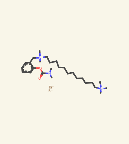 CN(C)C(=O)Oc1ccccc1C[N+](C)(C)CCCCCCCCCCCC[N+](C)(C)C.[Br-].[Br-]